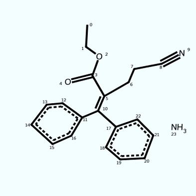 CCOC(=O)C(CCC#N)=C(c1ccccc1)c1ccccc1.N